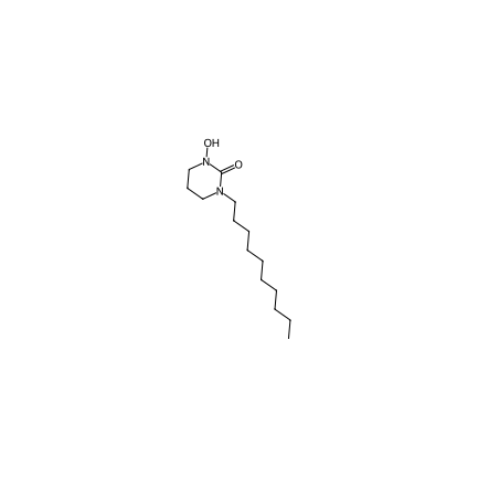 CCCCCCCCCCN1CCCN(O)C1=O